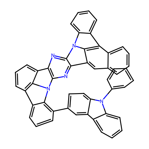 c1ccc(-n2c3ccccc3c3cc(-c4cccc5c6cccc7c8nc9c(nc8n(c45)c67)c4cc5ccccc5c5c6ccccc6n9c45)ccc32)cc1